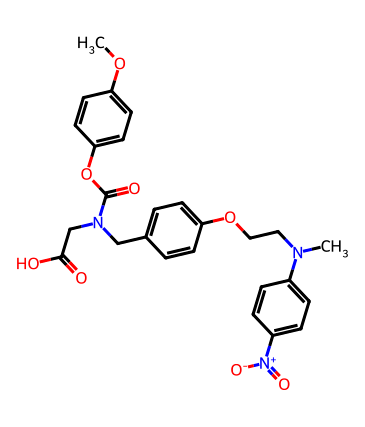 COc1ccc(OC(=O)N(CC(=O)O)Cc2ccc(OCCN(C)c3ccc([N+](=O)[O-])cc3)cc2)cc1